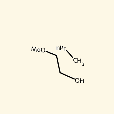 CCCC.COCCO